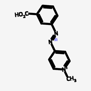 C[n+]1ccc(/N=N/c2cccc(C(=O)O)c2)cc1